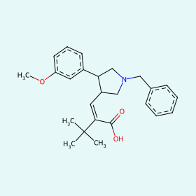 COc1cccc(C2CN(Cc3ccccc3)CC2C=C(C(=O)O)C(C)(C)C)c1